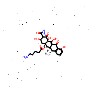 C[C@H]1c2cccc(O)c2C(=O)C2=C(O)[C@]3(O)C(=O)C(C(N)=O)C(O)C[C@@H]3[C@@H](OC(=O)CCCCN)[C@@H]21